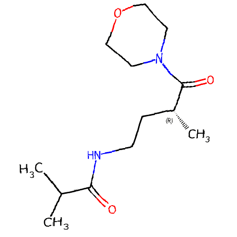 CC(C)C(=O)NCC[C@@H](C)C(=O)N1CCOCC1